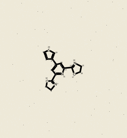 c1cc(-c2cc(C3=NCCO3)nc(C3=NCCO3)c2)cs1